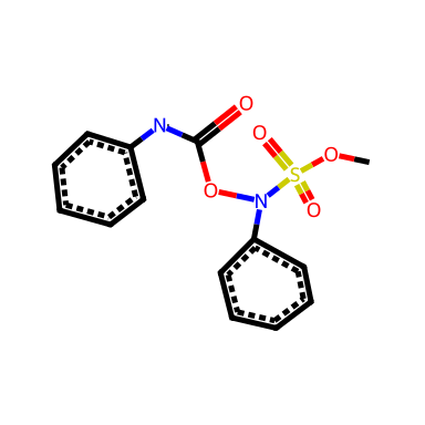 COS(=O)(=O)N(OC(=O)[N]c1ccccc1)c1ccccc1